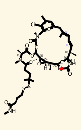 CNC(=O)CCCSSC(C)(C)CCC(=O)N(C)[C@@H](C)C(=O)OC1CC(=O)N(C)c2cc(cc(C)c2Cl)C/C(C)=C/C=C/[C@@H](C)[C@@]2(O)C[C@H](OC(=O)N2)[C@@H](C)[C@@H]2O[C@@]12C